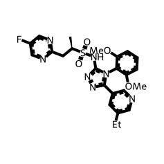 CCc1cncc(-c2nnc(NS(=O)(=O)[C@H](C)Cc3ncc(F)cn3)n2-c2c(OC)cccc2OC)c1